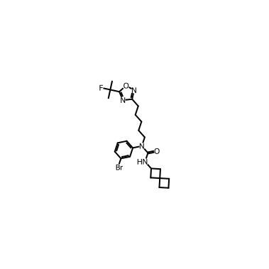 CC(C)(F)c1nc(CCCCCN(C(=O)NC2CC3(CCC3)C2)c2cccc(Br)c2)no1